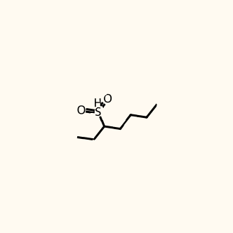 CCCCC(CC)[SH](=O)=O